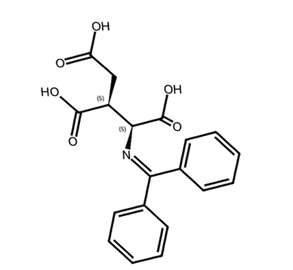 O=C(O)C[C@H](C(=O)O)[C@H](N=C(c1ccccc1)c1ccccc1)C(=O)O